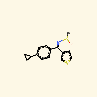 CC(C)(C)[S+]([O-])N=C(c1ccc(C2CC2)cc1)c1ccsc1